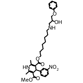 COC(=O)C1=C(C)NC(C)=C(C(=O)OCCCCCCCCNCC(O)COc2ccccc2)C1c1cccc([N+](=O)[O-])c1